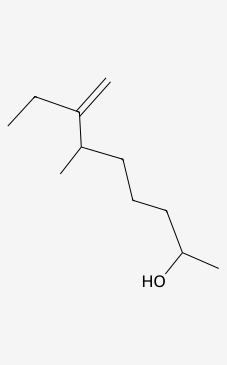 C=C(CC)C(C)CCCC(C)O